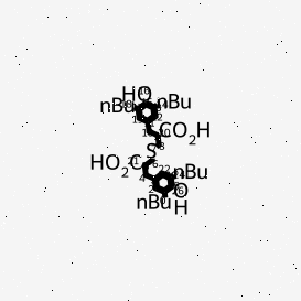 CCCCc1cc(CC(CSCC(Cc2cc(CCCC)c(O)c(CCCC)c2)C(=O)O)C(=O)O)cc(CCCC)c1O